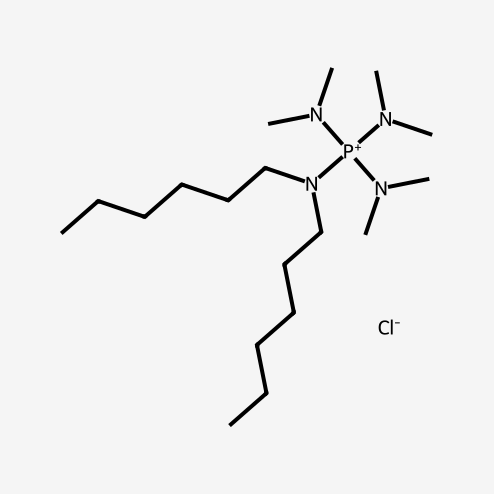 CCCCCCN(CCCCCC)[P+](N(C)C)(N(C)C)N(C)C.[Cl-]